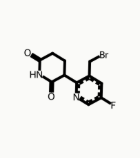 O=C1CCC(c2ncc(F)cc2CBr)C(=O)N1